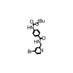 CC(C)(C)OC(=O)Nc1ccc(C(=O)NCc2cc(Br)ccn2)cc1